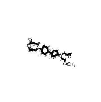 COCCN(CC1CO1)c1ccc(-c2ccc(N(CC3CO3)CC3CO3)cc2)cc1